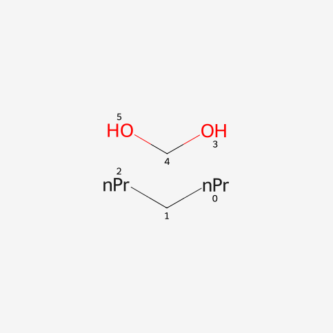 CCCCCCC.OCO